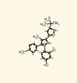 Cc1ccc(-c2c(C)c(-c3cc(C(C)(C)C)no3)nn2-c2ccc(Cl)cc2Cl)cc1